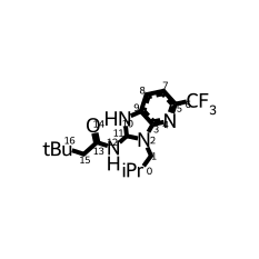 CC(C)CN1c2nc(C(F)(F)F)ccc2NC1NC(=O)CC(C)(C)C